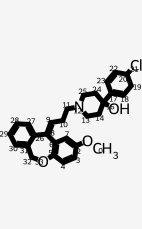 COc1ccc2c(c1)C(=CCCN1CCC(O)(C3=CCC(Cl)C=C3)CC1)c1ccccc1CO2